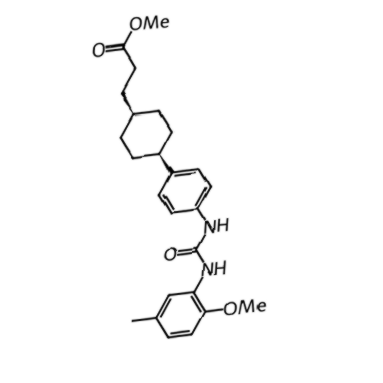 COC(=O)CC[C@H]1CC[C@@H](c2ccc(NC(=O)Nc3cc(C)ccc3OC)cc2)CC1